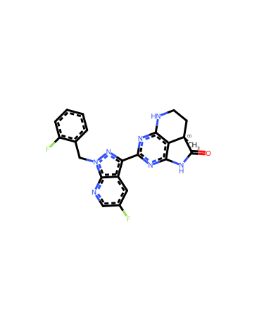 C[C@]12CCNc3nc(-c4nn(Cc5ccccc5F)c5ncc(F)cc45)nc(c31)NC2=O